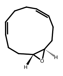 C1=CCC[C@H]2O[C@@H]2CCC=CCC1